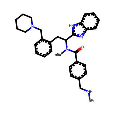 CCCCN(C(=O)c1ccc(CNCCC)cc1)C(Cc1ccccc1CN1CCCCC1)c1nc2ccccc2[nH]1